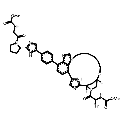 COC(=O)NCC(=O)N1CCC[C@H]1c1ncc(-c2ccc(-c3ccc4c5c3ncn5CCCCCCO[C@H]3C[C@@H](c5ncc-4[nH]5)N(C(=O)[C@@H](NC(=O)OC)C(C)C)C3)cc2)[nH]1